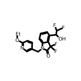 CCOc1ccc(CN2C(=O)C(F)(F)c3c(C(O)C(F)F)cccc32)cn1